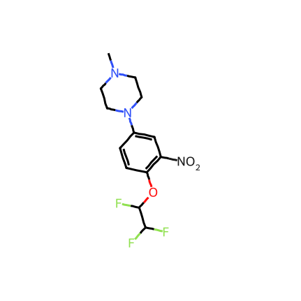 CN1CCN(c2ccc(OC(F)C(F)F)c([N+](=O)[O-])c2)CC1